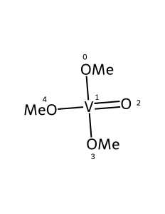 C[O][V-](=[O])([O]C)[O]C